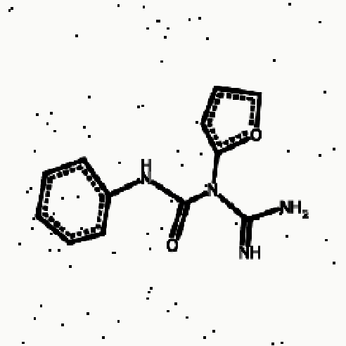 N=C(N)N(C(=O)Nc1ccccc1)c1ccco1